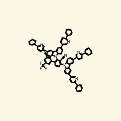 N#Cc1cc(-c2ccc(-n3c4ccc(-c5ccc(-c6ccccc6)nc5)cc4c4cc(-c5ccc(-c6ccccc6)nc5)ccc43)c(C#N)c2-n2c3ccc(-c4ccc(-c5ccccc5)nc4)cc3c3cc(-c4ccc(-c5ccccc5)nc4)ccc32)cc(C(F)(F)F)c1